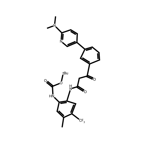 Cc1cc(NC(=O)OC(C)(C)C)c(NC(=O)CC(=O)c2cccc(-c3ccc(N(C)C)nc3)c2)cc1C(F)(F)F